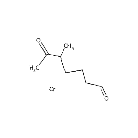 CC(=O)C(C)CCCC=O.[Cr]